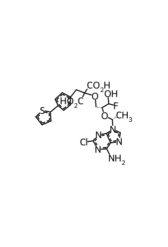 C[C@@H](O[C@H](COC(Cc1ccc(-c2cccs2)cc1)(C(=O)O)C(=O)O)C(O)F)n1cnc2c(N)nc(Cl)nc21